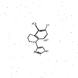 Cl.Oc1ccc2c(c1O)CCCC2c1c[nH]cn1